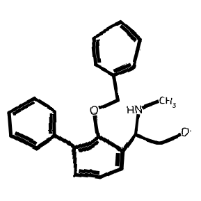 CNC(C[O])c1cccc(-c2ccccc2)c1OCc1ccccc1